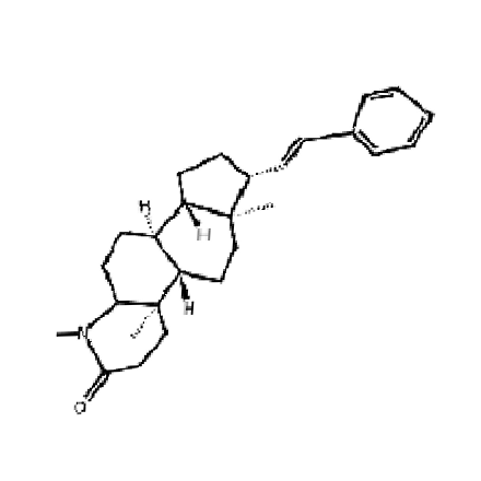 CN1C(=O)CC[C@@]2(C)C1CC[C@H]1[C@@H]3CC[C@H](/C=C/c4ccccc4)[C@@]3(C)CC[C@@H]12